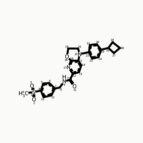 CS(=O)(=O)c1ccc(CNC(=O)c2ccc3c(n2)OCCN3c2ccc(C3CCC3)cc2)cc1